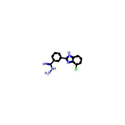 N=C(NN)c1cccc(-c2nc3c(Cl)cccc3[nH]2)c1